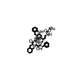 CC(C)(C)NC(=O)C1CC2CCCCC2CN1C[C@H](O)[C@@H](Cc1ccccc1)NC[C@H](CCNC(=O)OC(C)(C)C)NCC1Nc2ccccc2CC1O